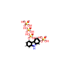 O=S(=O)(O)O.O=S(=O)(O)O.O=S(=O)(O)O.O=S(=O)(O)O.c1ccc2c(c1)[nH]c1ccccc12